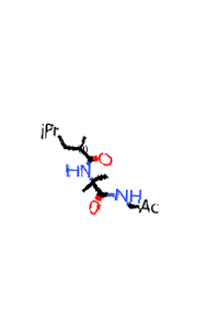 CC(=O)CNC(=O)C(C)(C)NC(=O)[C@H](C)CC(C)C